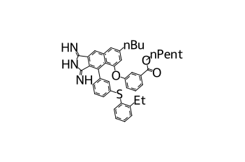 CCCCCOC(=O)c1cccc(Oc2cc(CCCC)cc3cc4c(c(-c5cccc(Sc6ccccc6CC)c5)c23)C(=N)NC4=N)c1